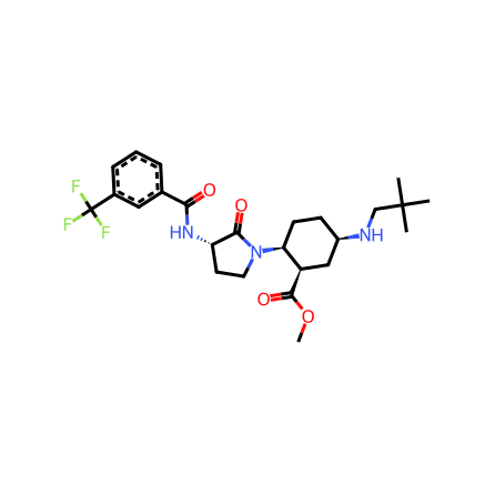 COC(=O)[C@@H]1C[C@H](NCC(C)(C)C)CC[C@@H]1N1CC[C@H](NC(=O)c2cccc(C(F)(F)F)c2)C1=O